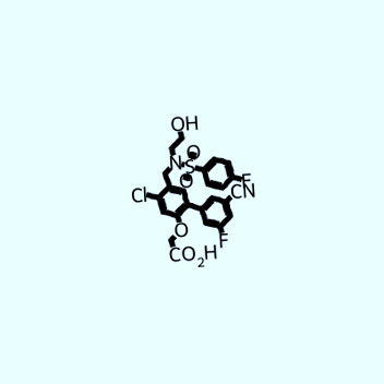 N#Cc1cc(F)cc(-c2cc(CN(CCO)S(=O)(=O)c3ccc(F)cc3)c(Cl)cc2OCC(=O)O)c1